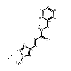 Cn1cc(C=CC(=O)OCc2ccccc2)nn1